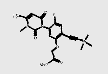 COC(=O)COc1cc(-n2c(=O)cc(C(F)(F)F)n(C)c2=O)c(F)cc1C#C[Si](C)(C)C